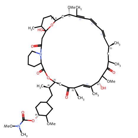 COC1C(=O)C(C)C[C@H](C)/C=C/C=C/C=C(\C)[C@@H](OC)C[C@@H]2CCC(C)C(O)(CC(=O)N3CCCCC3C(=O)O[C@H]([C@H](C)CC3CC[C@@H](OC(=O)N(C)OC)C(OC)C3)CC(=O)[C@H](C)/C=C(\C)[C@H]1O)O2